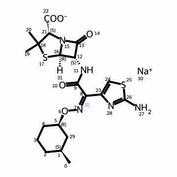 C[C@H]1CCC[C@@H](O/N=C(\C(=O)N[C@H]2C(=O)N3[C@@H]2SC(C)(C)[C@@H]3C(=O)[O-])c2csc(N)n2)C1.[Na+]